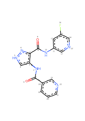 O=C(Nc1c[nH]nc1C(=O)Nc1cncc(F)c1)c1cccnc1